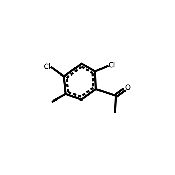 CC(=O)c1cc(C)c(Cl)cc1Cl